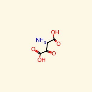 N.O=C(O)CC(=O)C(=O)O